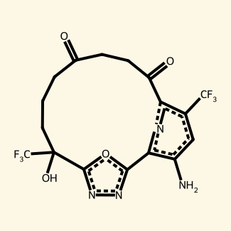 Nc1cc(C(F)(F)F)c2nc1-c1nnc(o1)C(O)(C(F)(F)F)CCCC(=O)CCC2=O